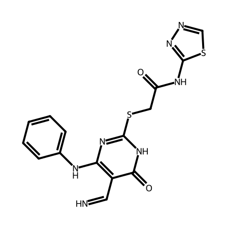 N=Cc1c(Nc2ccccc2)nc(SCC(=O)Nc2nncs2)[nH]c1=O